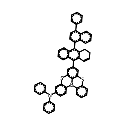 C1=Cc2c(c(-c3ccc(-c4ccccc4)c4ccccc34)c3ccccc3c2-c2cc3c4c(c2)Sc2cc(N(c5ccccc5)c5ccccc5)ccc2B4c2ccccc2S3)CC1